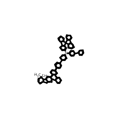 CC1(C)C=CC=C2C=c3cc4c5ccccc5c5cc(-c6ccc(-c7ccc(N(c8ccc(-c9ccccc9)cc8)c8ccc9c(c8)C8(c%10ccccc%10-c%10ccccc%108)c8ccccc8-9)cc7)cc6)ccc5c4cc3=C21